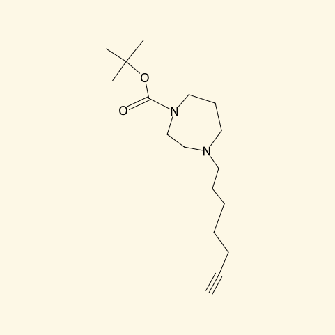 C#CCCCCCN1CCCN(C(=O)OC(C)(C)C)CC1